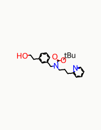 CC(C)(C)OC(=O)N(CCCc1ccccn1)Cc1cccc(CCO)c1